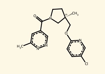 Cc1cc(C(=O)N2CC[C@@](C)(COc3ccc(Cl)cn3)C2)cnn1